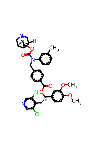 COc1ccc([C@H](Cc2c(Cl)cncc2Cl)OC(=O)c2ccc(CN(C(=O)O[C@H]3CN4CCC3CC4)c3cccc(C)c3)cc2)cc1OC